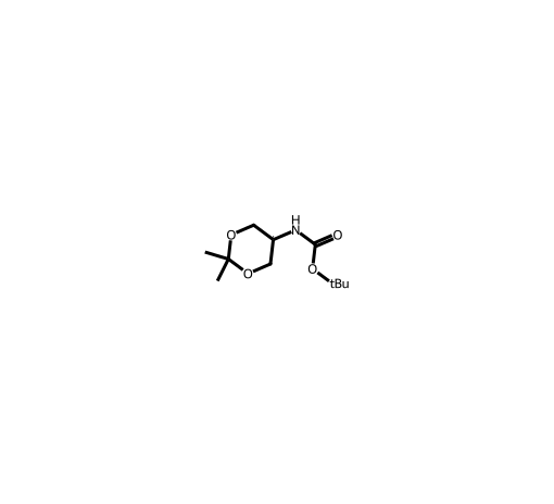 CC(C)(C)OC(=O)N[C]1COC(C)(C)OC1